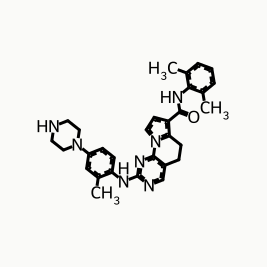 Cc1cc(N2CCNCC2)ccc1Nc1ncc2c(n1)-n1ccc(C(=O)Nc3c(C)cccc3C)c1CC2